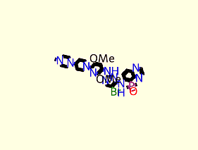 COc1cc(Nc2ncc(Br)c(Nc3ccc4nccnc4c3P(C)(C)=O)n2)c(OC)nc1N1CCC(N2CCN(C)CC2)CC1